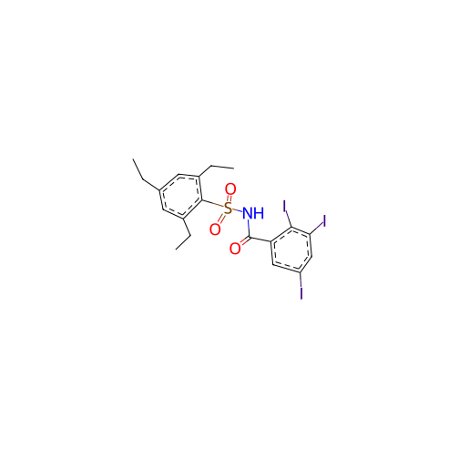 CCc1cc(CC)c(S(=O)(=O)NC(=O)c2cc(I)cc(I)c2I)c(CC)c1